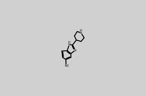 [C-]#[N+]c1ccc2[nH]c(C3CCNCC3)nc2c1